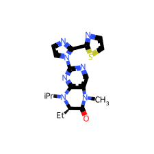 CC[C@@H]1C(=O)N(C)c2cnc(-n3ccnc3-c3nccs3)nc2N1C(C)C